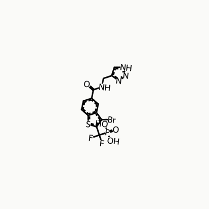 O=C(NCc1c[nH]nn1)c1ccc2sc(C(F)(F)P(=O)(O)O)c(Br)c2c1